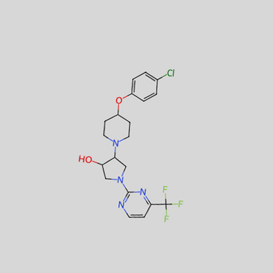 OC1CN(c2nccc(C(F)(F)F)n2)CC1N1CCC(Oc2ccc(Cl)cc2)CC1